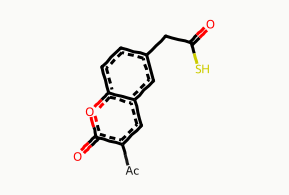 CC(=O)c1cc2cc(CC(=O)S)ccc2oc1=O